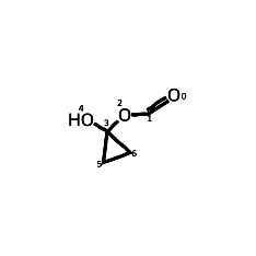 O=COC1(O)CC1